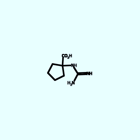 N=C(N)NC1(C(=O)O)CCCC1